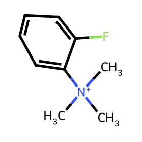 C[N+](C)(C)c1ccccc1F